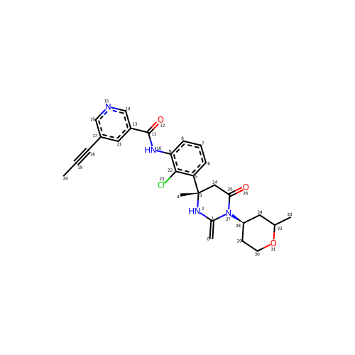 C=C1N[C@](C)(c2cccc(NC(=O)c3cncc(C#CC)c3)c2Cl)CC(=O)N1[C@@H]1CCOC(C)C1